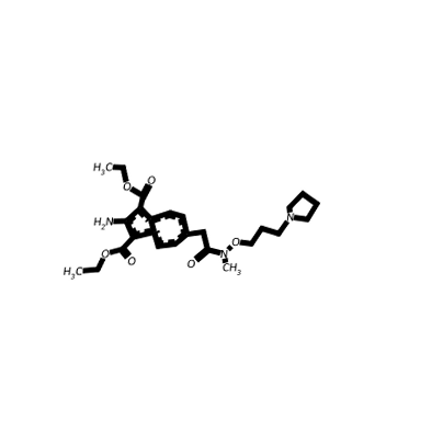 CCOC(=O)c1c2ccc(CC(=O)N(C)OCCCN3CCCC3)ccc-2c(C(=O)OCC)c1N